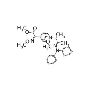 CON=C(C(=O)OC)c1cc2cc(C)c1ON2C(C)C(C)=NN(c1ccccc1)c1ccccc1